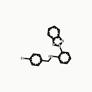 CCc1ccc(CNc2ccccc2-n2nc3ccccc3n2)cc1